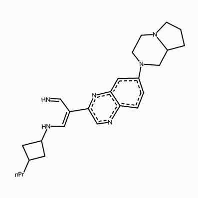 CCCC1CC(N/C=C(\C=N)c2cnc3ccc(N4CCN5CCCC5C4)cc3n2)C1